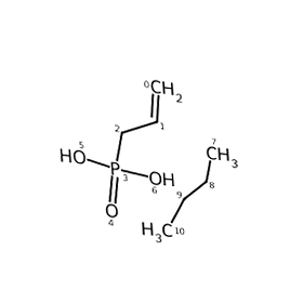 C=CCP(=O)(O)O.CCCC